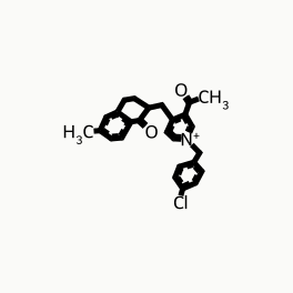 CC(=O)c1c[n+](Cc2ccc(Cl)cc2)ccc1CC1CCc2cc(C)ccc2C1=O